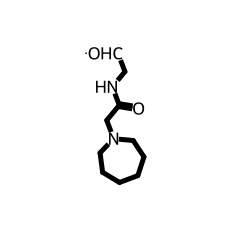 O=[C]CNC(=O)CN1CCCCCC1